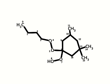 CCCCOOC1(OO)CC(C)CC(C)(C)C1